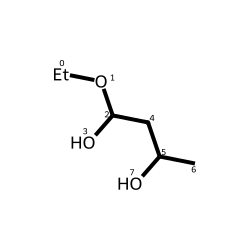 CCOC(O)CC(C)O